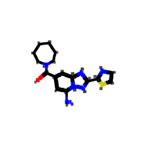 Nc1cc(C(=O)N2CCCCCC2)cc2nc(-c3nccs3)nn12